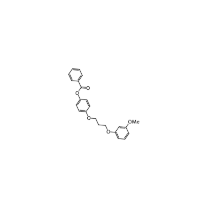 COc1cccc(OCCCOc2ccc(OC(=O)c3ccccc3)cc2)c1